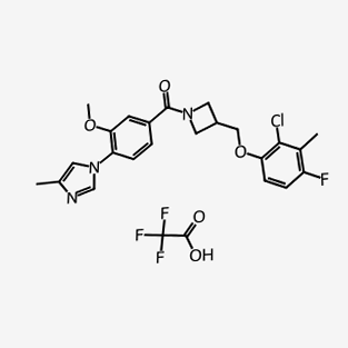 COc1cc(C(=O)N2CC(COc3ccc(F)c(C)c3Cl)C2)ccc1-n1cnc(C)c1.O=C(O)C(F)(F)F